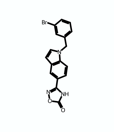 O=c1[nH]c(-c2ccc3c(ccn3Cc3cccc(Br)c3)c2)no1